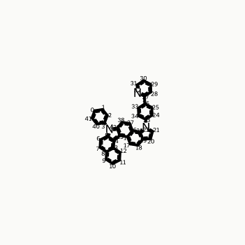 c1ccc(-n2c3ccc4ccccc4c3c3c4ccc5ccn(-c6ccc(-c7ccccn7)cc6)c5c4ccc32)cc1